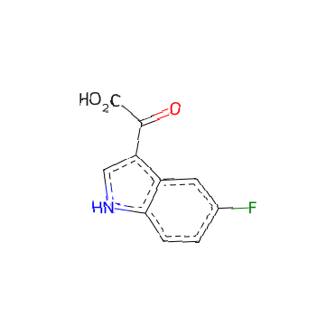 O=C(O)C(=O)c1c[nH]c2ccc(F)cc12